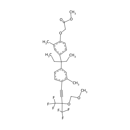 CCC(CC)(c1ccc(C#CC(OCOC)(C(F)(F)F)C(F)(F)F)c(C)c1)c1ccc(OCC(=O)OC)c(C)c1